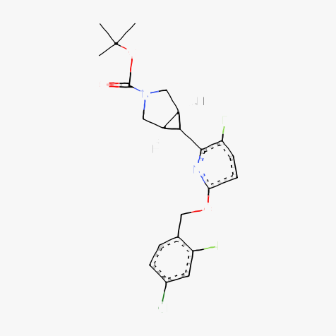 CC(C)(C)OC(=O)N1C[C@@H]2C(c3nc(OCc4ccc(Cl)cc4F)ccc3F)[C@@H]2C1